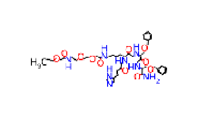 CCCOCC(=O)NCCOCCOCC(=O)NCCCC[C@H](NCC(=O)CCc1cnc[nH]1)C(=O)CN[C@@H](COCc1ccccc1)C(=O)CN[C@@H](COCc1ccccc1)C(N)=O